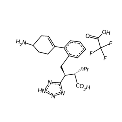 CCC[C@H](C(=O)O)[C@H](Cc1ccccc1C1=CCC(N)CC1)c1nn[nH]n1.O=C(O)C(F)(F)F